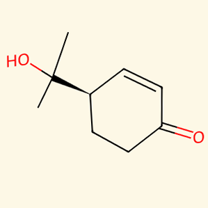 CC(C)(O)[C@H]1C=CC(=O)CC1